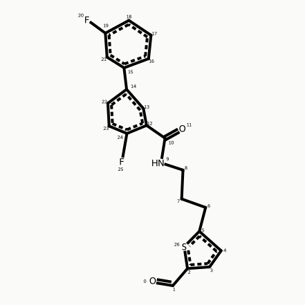 O=Cc1ccc(CCCNC(=O)c2cc(-c3cccc(F)c3)ccc2F)s1